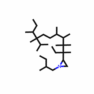 CCC(C)CN1CC1C(C)(CC)C(C)(C)C(C)C(C)CCC(C)(C(C)C)C(C)CC